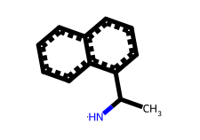 CC([NH])c1cccc2ccccc12